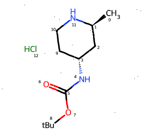 C[C@H]1C[C@H](NC(=O)OC(C)(C)C)CCN1.Cl